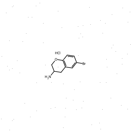 Cl.NC1COc2ccc(Br)cc2C1